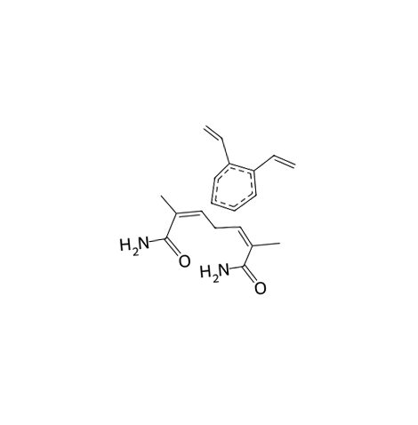 C=Cc1ccccc1C=C.CC(=CCC=C(C)C(N)=O)C(N)=O